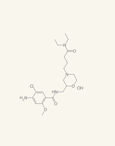 CCN(CC)C(=O)CCCN1CCOC(CNC(=O)c2cc(Cl)c(N)cc2OC)C1.Cl